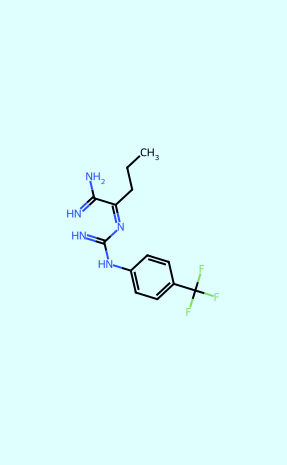 CCCC(=NC(=N)Nc1ccc(C(F)(F)F)cc1)C(=N)N